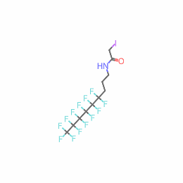 O=C(CI)NCCCC(F)(F)C(F)(F)C(F)(F)C(F)(F)C(F)(F)C(F)(F)F